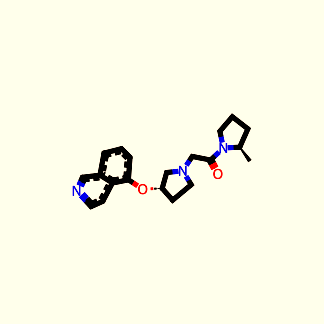 C[C@@H]1CCCN1C(=O)CN1CC[C@H](Oc2cccc3cnccc23)C1